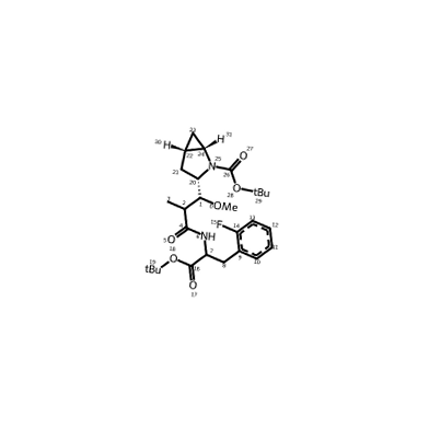 COC(C(C)C(=O)NC(Cc1ccccc1F)C(=O)OC(C)(C)C)[C@@H]1C[C@@H]2C[C@@H]2N1C(=O)OC(C)(C)C